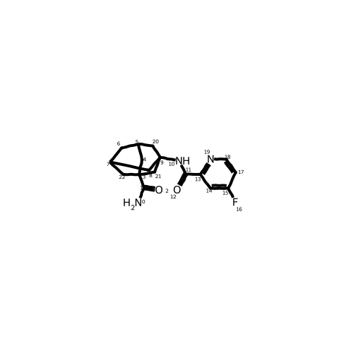 NC(=O)C12CC3CC(CC(NC(=O)c4cc(F)ccn4)(C3)C1)C2